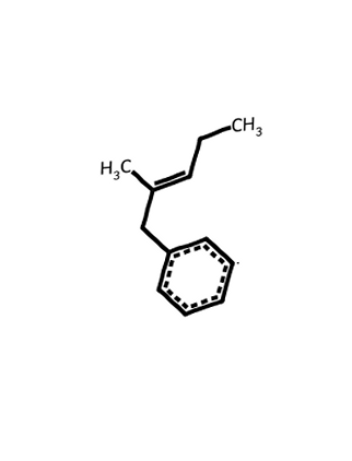 CCC=C(C)Cc1c[c]ccc1